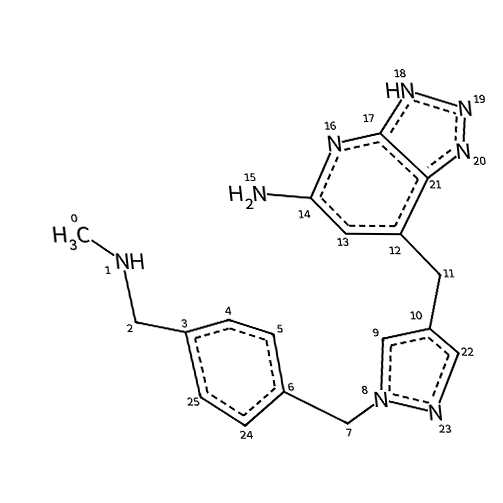 CNCc1ccc(Cn2cc(Cc3cc(N)nc4[nH]nnc34)cn2)cc1